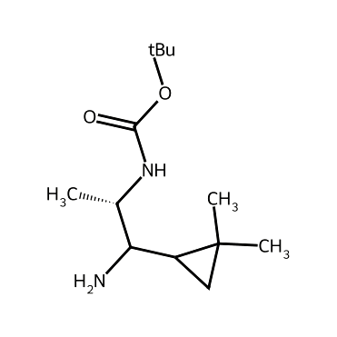 C[C@H](NC(=O)OC(C)(C)C)C(N)C1CC1(C)C